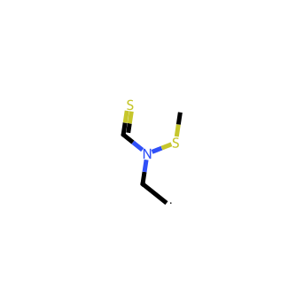 [CH2]CN(C=S)SC